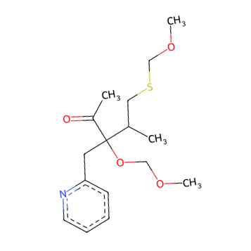 COCOC(Cc1ccccn1)(C(C)=O)C(C)CSCOC